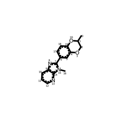 CC1COc2cc(-c3nc4cccnc4n3C)ccc2O1